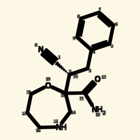 N#C[C@H](Cc1ccccc1)C1(C(N)=O)CNCCCO1